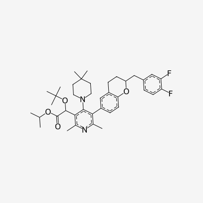 Cc1nc(C)c(C(OC(C)(C)C)C(=O)OC(C)C)c(N2CCC(C)(C)CC2)c1-c1ccc2c(c1)CCC(Cc1ccc(F)c(F)c1)O2